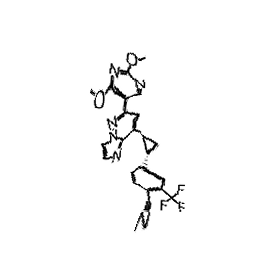 COc1ncc(-c2cc([C@H]3C[C@@H]3c3ccc(C#N)c(C(F)(F)F)c3)c3nccn3n2)c(OC)n1